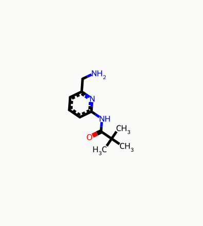 CC(C)(C)C(=O)Nc1cccc(CN)n1